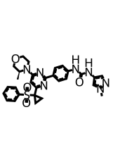 C[C@H]1COCCN1c1cc(C2(S(=O)(=O)c3ccccc3)CC2)nc(-c2ccc(NC(=O)Nc3cnn(C)c3)cc2)n1